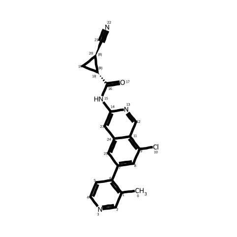 Cc1cnccc1-c1cc(Cl)c2cnc(NC(=O)[C@@H]3C[C@H]3C#N)cc2c1